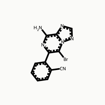 N#Cc1ccccc1-c1nc(N)c2ncnn2c1Br